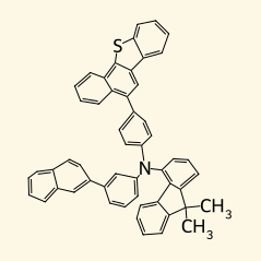 CC1(C)c2ccccc2-c2c(N(c3ccc(-c4cc5c6ccccc6sc5c5ccccc45)cc3)c3cccc(-c4ccc5ccccc5c4)c3)cccc21